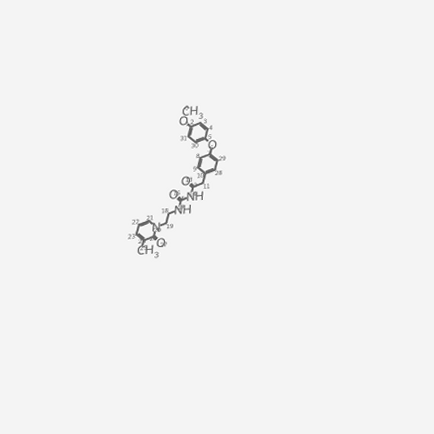 COc1ccc(Oc2ccc(CC(=O)NC(=O)NCCn3cccc(C)c3=O)cc2)cc1